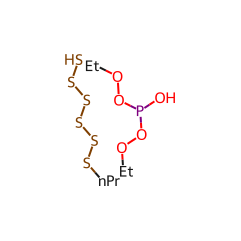 CCCSSSSSS.CCOOP(O)OOCC